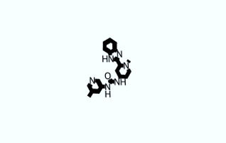 Cc1cncc(NC(=O)N[C@@H]2CCN(C)C(c3nc4ccccc4[nH]3)C2)c1